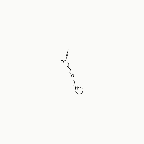 CC#CC(=O)CNCCOCCCN1CCCCC1